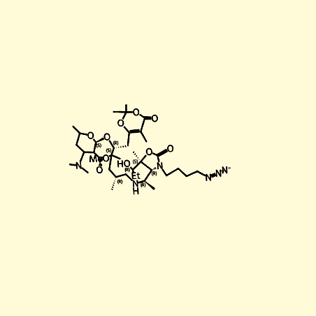 CC[C@@H](O)[C@@]1(C)OC(=O)N(CCCCN=[N+]=[N-])[C@@H]1[C@@H](C)NC[C@H](C)C[C@](C)(OC)[C@@H](CC1=C(C)C(=O)OC(C)(C)O1)O[C@@H]1OC(C)CC(N(C)C)C1P=O